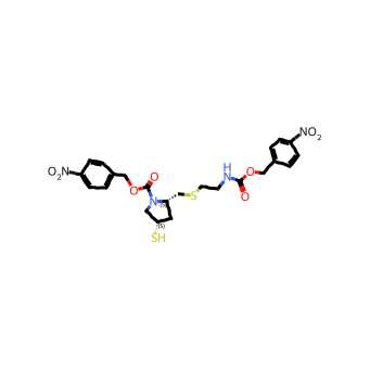 O=C(NCCSC[C@@H]1C[C@H](S)CN1C(=O)OCc1ccc([N+](=O)[O-])cc1)OCc1ccc([N+](=O)[O-])cc1